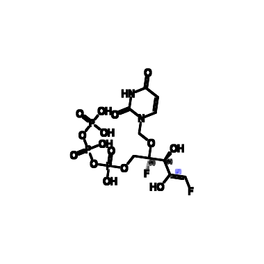 O=c1ccn(CO[C@](F)(COP(=O)(O)OP(=O)(O)OP(=O)(O)O)[C@@H](O)/C(O)=C/F)c(=O)[nH]1